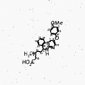 COc1ccc(Oc2cnc(NC(CCN(C)CC(=O)O)c3ccccc3)nc2)cc1